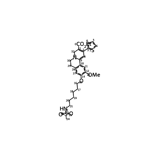 CCOC(=O)C1=C(c2cccs2)C=C2c3cc(OC)c(OCCCCCCNS(C)(=O)=O)cc3CCN2C1